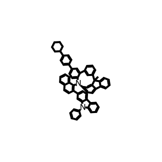 CC12c3cccc(c3)-c3cc(-c4ccc(C5CCCCC5)cc4)ccc3N(c3c(-c4ccc5c6ccccc6n(-c6ccccc6)c5c4)ccc4ccccc34)c3ccc(c1c3)-c1ccccc12